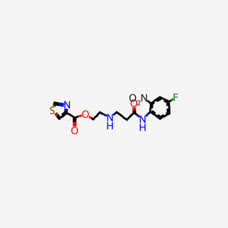 O=C(CCNCCOC(=O)c1cscn1)Nc1ccc(F)cc1[N+](=O)[O-]